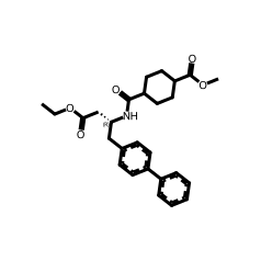 CCOC(=O)C[C@@H](Cc1ccc(-c2ccccc2)cc1)NC(=O)C1CCC(C(=O)OC)CC1